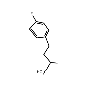 CC(CCc1ccc(F)cc1)C(=O)O